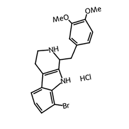 COc1ccc(CC2NCCc3c2[nH]c2c(Br)cccc32)cc1OC.Cl